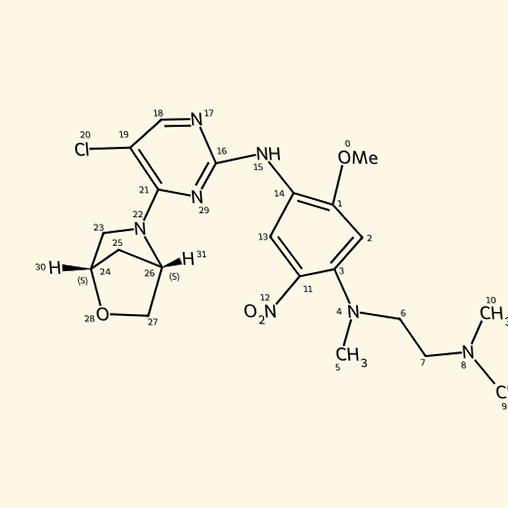 COc1cc(N(C)CCN(C)C)c([N+](=O)[O-])cc1Nc1ncc(Cl)c(N2C[C@@H]3C[C@H]2CO3)n1